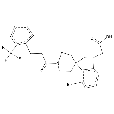 O=C(O)CC1CC2(CCN(C(=O)CCc3ccccc3C(F)(F)F)CC2)c2c(Br)cccc21